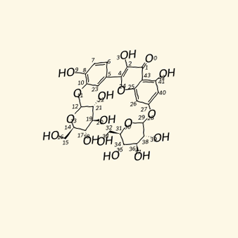 O=c1c(O)c(-c2ccc(O)c(OC3O[C@H](CO)[C@@H](O)[C@H](O)[C@H]3O)c2)oc2cc(OC3O[C@H](CO)[C@@H](O)[C@H](O)[C@H]3O)cc(O)c12